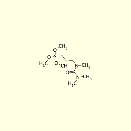 CO[Si](CCCN(C)C(=O)N(C)C)(OC)OC